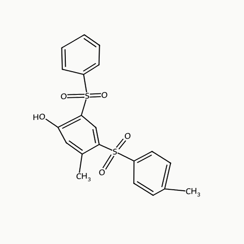 Cc1ccc(S(=O)(=O)c2cc(S(=O)(=O)c3ccccc3)c(O)cc2C)cc1